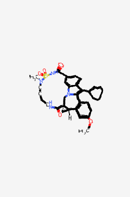 COc1ccc2c(c1)[C@@H]1C[C@]13Cn1c-2c(C2CCCCC2)c2ccc(cc21)C(=O)NS(=O)(=O)N(C)CCCCNC3=O